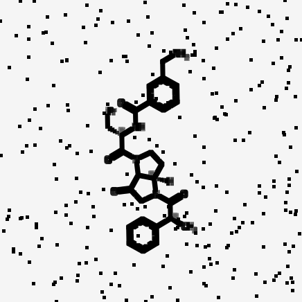 CC(C)C[C@H](NC(=O)c1cccc(CN)c1)C(=O)N1CC[C@@H]2C1C(=O)CN2C(=O)[C@@H](C)c1ccccc1